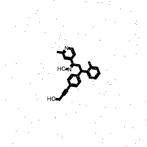 Cc1cc(C(CC(c2ccc(C#CCO)cc2)c2ccccc2C)=NO)ccn1